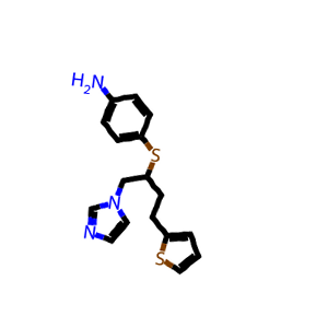 Nc1ccc(SC(CCc2cccs2)Cn2ccnc2)cc1